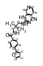 CC(C)(CNC(=O)c1ccc(-c2ccco2)cc1)CNC(=NC#N)Nc1cccnc1